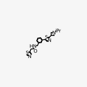 CC(C)N1CC(c2ncc(-c3cccc(CNC(=O)Cc4cncs4)c3)s2)C1